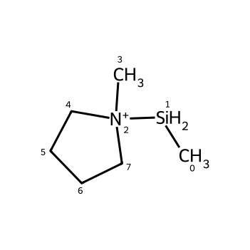 C[SiH2][N+]1(C)CCCC1